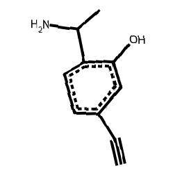 C#Cc1ccc(C(C)N)c(O)c1